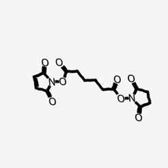 O=C(CCCCC(=O)ON1C(=O)CCC1=O)ON1C(=O)C=CC1=O